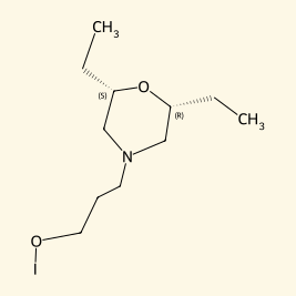 CC[C@@H]1CN(CCCOI)C[C@H](CC)O1